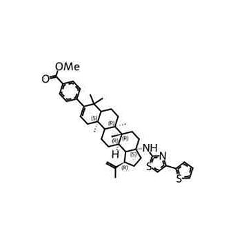 C=C(C)[C@@H]1CC[C@]2(Nc3nc(-c4cccs4)cs3)CC[C@]3(C)[C@H](CCC4[C@@]5(C)CC=C(c6ccc(C(=O)OC)cc6)C(C)(C)C5CC[C@]43C)C12